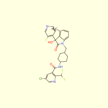 Cc1cccc2c1C(O)(c1ccncc1F)C(=O)N2CC1CCC(NC(=O)c2cc(Cl)cnc2C(F)F)CC1